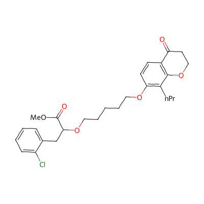 CCCc1c(OCCCCCOC(Cc2ccccc2Cl)C(=O)OC)ccc2c1OCCC2=O